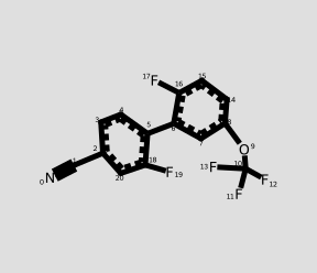 N#Cc1ccc(-c2cc(OC(F)(F)F)c[c]c2F)c(F)c1